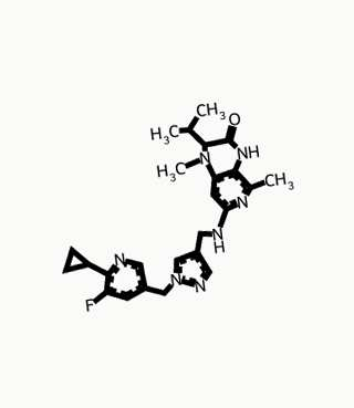 Cc1nc(NCc2cnn(Cc3cnc(C4CC4)c(F)c3)c2)cc2c1NC(=O)C(C(C)C)N2C